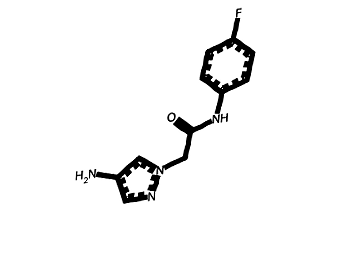 Nc1cnn(CC(=O)Nc2ccc(F)cc2)c1